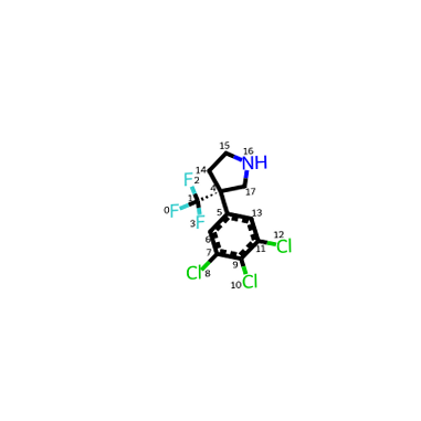 FC(F)(F)[C@]1(c2cc(Cl)c(Cl)c(Cl)c2)CCNC1